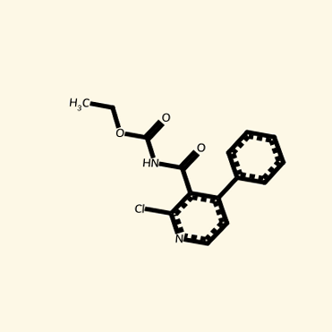 CCOC(=O)NC(=O)c1c(-c2ccccc2)ccnc1Cl